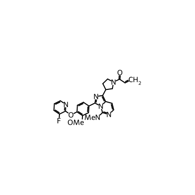 C=CC(=O)N1CCC(c2nc(-c3ccc(Oc4ncccc4F)c(OC)c3)n3c(NC)nccc23)C1